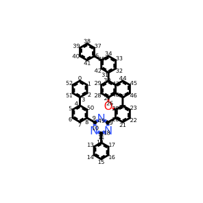 c1ccc(-c2cccc(-c3nc(-c4ccccc4)nc(-c4cccc5c4Oc4ccc(-c6cccc(-c7ccccc7)c6)c6cccc-5c46)n3)c2)cc1